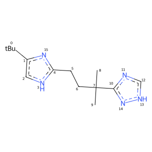 CC(C)(C)c1c[nH]c(CCC(C)(C)c2nc[nH]n2)n1